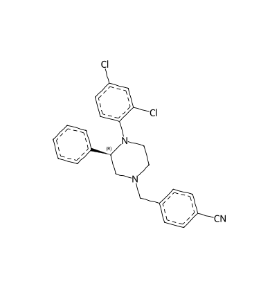 N#Cc1ccc(CN2CCN(c3ccc(Cl)cc3Cl)[C@H](c3ccccc3)C2)cc1